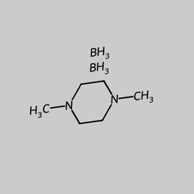 B.B.CN1CCN(C)CC1